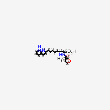 CC1(C(=O)NC(CCCCCCCc2ccc3c(n2)NCCC3)C(=O)O)CCOC1